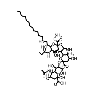 CCCCCCCCCCCCNCC(O)C1OC(OC(CO)C(O)C2OC(OC(CO)C(O)C3OC(O)(C(=O)O)CC(O)C3NC(C)=O)(C(=O)O)CC(O)C2N)(C(=O)ON)CC(O)C1NC(=O)CC